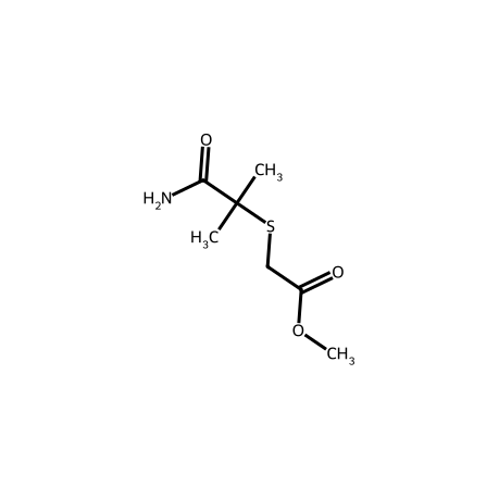 COC(=O)CSC(C)(C)C(N)=O